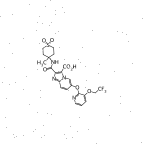 CC1(NC(=O)c2nc3ccc(Oc4ncccc4OCC(F)(F)F)cn3c2C(=O)O)CCS(=O)(=O)CC1